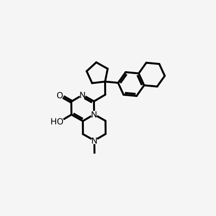 CN1CCn2c(CC3(c4ccc5c(c4)CCCC5)CCCC3)nc(=O)c(O)c2C1